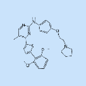 COc1cccc(OC)c1-c1ccc(-c2nc(Nc3ccc(OCCN4CCCC4)cc3)ncc2C)s1